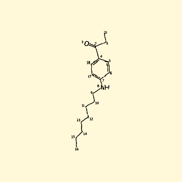 [CH2]CC(=O)c1ccc(NCCCCCCCC)cc1